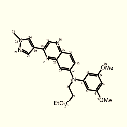 CCOC(=O)CCN(c1cc(OC)cc(OC)c1)c1ccc2ncc(-c3cnn(C)c3)nc2c1